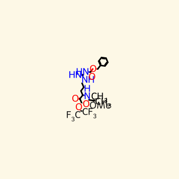 COC(C)(C)C(=O)NC(CCCNC(=N)NC(=O)OCc1ccccc1)C(=O)COC(C(F)(F)F)C(F)(F)F